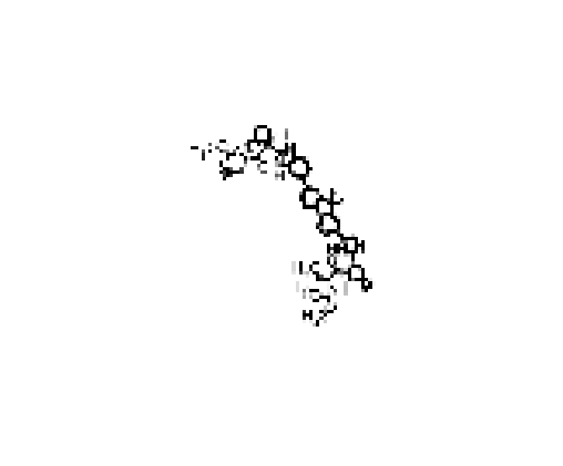 COC(=O)N[C@@H](CC#N)C(=O)N1[C@@H]2CC[C@@H](C2)[C@H]1c1nc2ccc(-c3ccc4c(c3)C(F)(F)c3cc(-c5cnc([C@@H]6CC7(CC7)CN6C(=O)[C@@H](NC(=O)OC)C(C)C)[nH]5)ccc3-4)cc2[nH]1